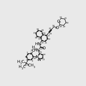 Cc1ccc(C(C)(C)C)cc1-n1nccc1NC(=O)Nc1ccc(C#CCOC2CCCCO2)c2ccccc12